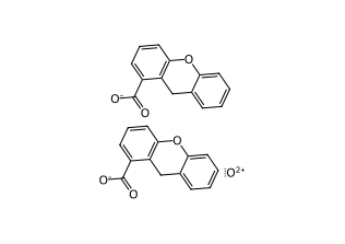 O=C([O-])c1cccc2c1Cc1ccccc1O2.O=C([O-])c1cccc2c1Cc1ccccc1O2.[O+2]